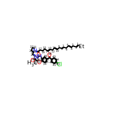 CCC=CCC=CCC=CCC=CCC=CCCCC(=O)N1CCCC1CNC(=O)C(C)(C)Oc1ccc(C(=O)c2ccc(Cl)cc2)cc1